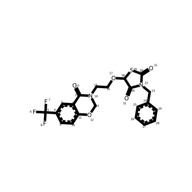 O=C1c2cc(C(F)(F)F)ccc2OCN1CCOC1SC(=O)N(Cc2ccccc2)C1=O